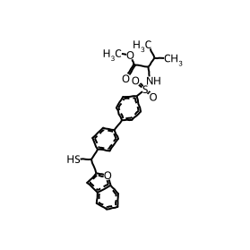 COC(=O)C(NS(=O)(=O)c1ccc(-c2ccc(C(S)c3cc4ccccc4o3)cc2)cc1)C(C)C